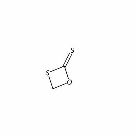 S=C1OCS1